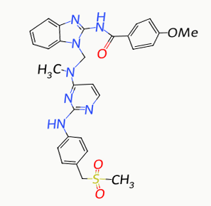 COc1ccc(C(=O)Nc2nc3ccccc3n2CN(C)c2ccnc(Nc3ccc(CS(C)(=O)=O)cc3)n2)cc1